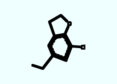 CCc1cc(Cl)c2c(c1)CCO2